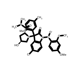 COc1ccc([S+]([O-])N2C(=O)C(c3cc(C)ccc3OC)(N3C[C@@H](O)C[C@@H]3C(=O)N(C)C)c3cc(Cl)ccc32)c(OC(F)(F)F)c1